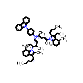 C=Cc1c(/C=C\CC)n(/C(C)=C/C=C(\C)N(/C=C/C(C)C(C=C)n2c(C)c(/C=C\CCC)c3cccc(C)c32)c2ccc(-n3c4ccccc4c4ccccc43)cc2)c2cccc(C)c12